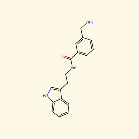 NCc1cccc(C(=O)NCCc2c[nH]c3ccccc23)c1